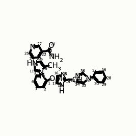 COc1ccccn1.Cc1c[nH]cn1.Cc1ncc[nH]1.NC(=O)c1cccnc1.c1ccc(-n2ccnc2)cc1